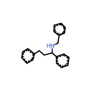 c1ccc(CCC(NCc2ccccc2)c2ccccc2)cc1